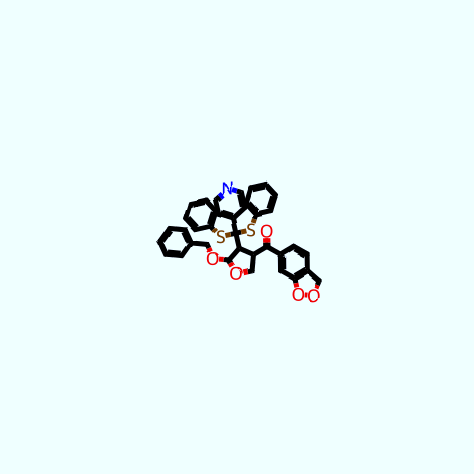 O=C(c1ccc2c(c1)OOC2)C1COC(OCc2ccccc2)C1C(Sc1ccccc1)(Sc1ccccc1)c1ccncc1